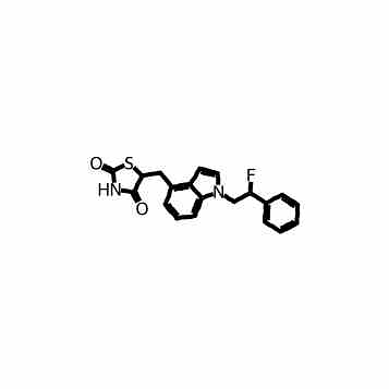 O=C1NC(=O)C(Cc2cccc3c2ccn3CC(F)c2ccccc2)S1